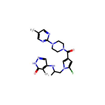 CC(Cn1cc(C(=O)N2CCN(c3ncc(C(F)(F)F)cn3)CC2)cc1F)Nc1cn[nH]c(=O)c1C(F)(F)F